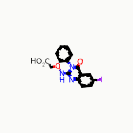 O=C(O)CONc1nc2ccc(I)cc2c(=O)n1-c1ccccc1